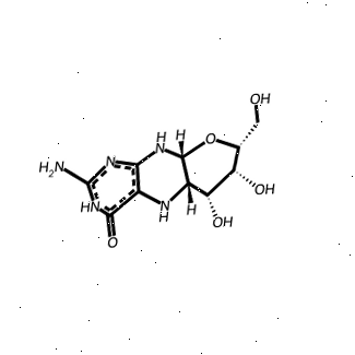 Nc1nc2c(c(=O)[nH]1)N[C@H]1[C@@H](O)[C@@H](O)[C@@H](CO)O[C@H]1N2